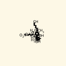 C#CCCCCC(C)(C)c1cc(O)c([C@H]2CC(=O)[C@H]3C[C@@H]2C3(C)C)c(OC(=O)CCCO[N+](=O)[O-])c1